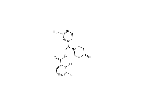 Cc1nccc(C(CNC(=O)c2cccc(Cl)c2Cl)N2CCC(=O)CC2)n1